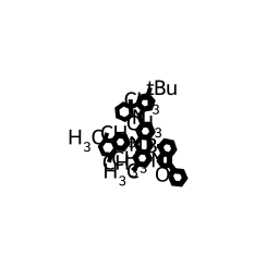 Cc1cc2c3c(c1)-n1c4oc5ccccc5c4c4cccc(c41)B3c1ccc(N3c4ccc(C(C)(C)C)cc4C4(C)CCCCC34C)cc1N2c1ccc2c(c1)C(C)(C)CCC2(C)C